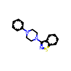 c1ccc(N2CCN(c3nsc4ccccc34)CC2)cc1